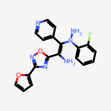 N/C(=C(/c1ccncc1)N(N)c1ccccc1F)c1nc(-c2ccco2)no1